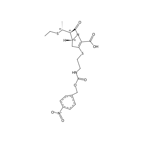 CCS[C@H](C)[C@H]1C(=O)N2C(C(=O)O)=C(SCCNC(=O)OCc3ccc([N+](=O)[O-])cc3)C[C@H]12